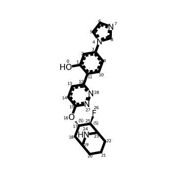 Oc1cc(-n2ccnc2)ccc1-c1ccc(O[C@H]2CC3CCCC(N3)[C@@H]2F)nn1